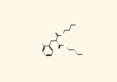 CCCCOC(=O)C(Cc1ccccc1F)C(=O)OCCCC